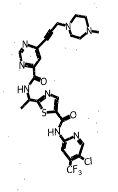 CC(NC(=O)c1cc(C#CCN2CCN(C)CC2)ncn1)c1ncc(C(=O)Nc2cc(C(F)(F)F)c(Cl)cn2)s1